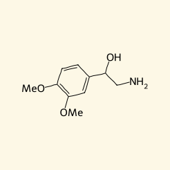 COc1ccc(C(O)CN)cc1OC